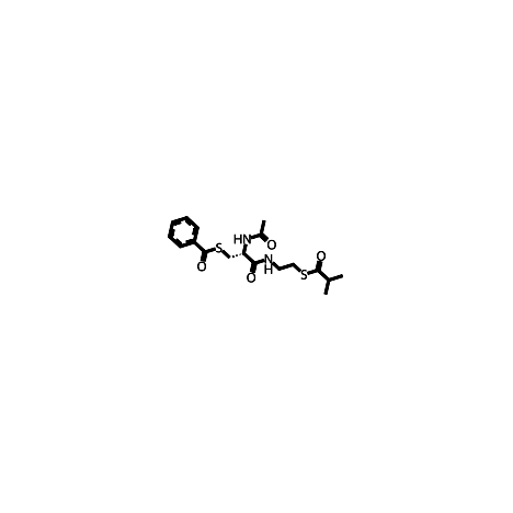 CC(=O)N[C@@H](CSC(=O)c1ccccc1)C(=O)NCCSC(=O)C(C)C